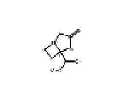 C=C1CN2CCC2(C(=O)OC)C1